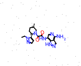 CCn1nccc1[C@H]1CC[C@@H](C)CN1C(=O)C(=O)Nc1cnc(N)c2cn[nH]c12